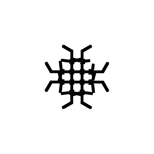 CC[Si](C)(C)[Si]1([Si](C)(C)CC)[Si]([Si](C)(C)CC)([Si](C)(C)CC)[Si]([Si](C)(C)CC)([Si](C)(C)CC)[Si]1([Si](C)(C)CC)[Si](C)(C)CC